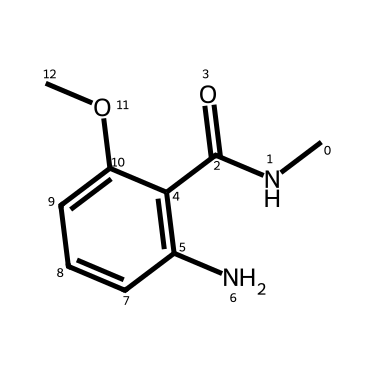 CNC(=O)c1c(N)cccc1OC